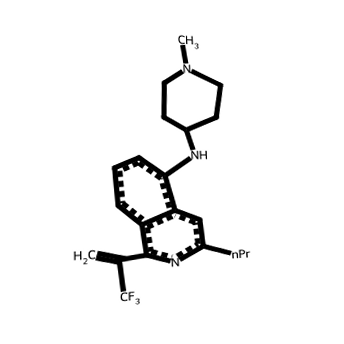 C=C(c1nc(CCC)cc2c(NC3CCN(C)CC3)cccc12)C(F)(F)F